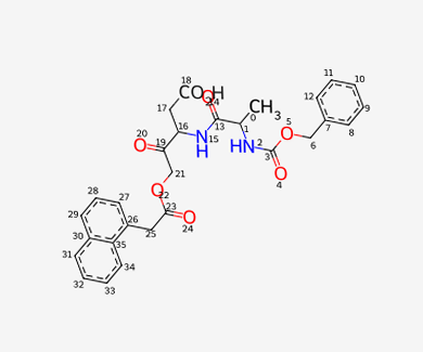 CC(NC(=O)OCc1ccccc1)C(=O)NC(CC(=O)O)C(=O)COC(=O)Cc1cccc2ccccc12